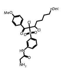 CCCCCCCCCCCCCCC(Cl)C(Cl)(C(=O)c1ccc(OC)cc1)S(=O)(=O)c1cccc(NC(=O)CN)c1